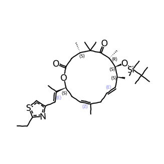 CCc1nc(/C=C(\C)[C@@H]2C/C=C(/C)C/C=C/[C@H](C)[C@H](O[Si](C)(C)C(C)(C)C)[C@@H](C)C(=O)C(C)(C)[C@@H](C)CC(=O)O2)cs1